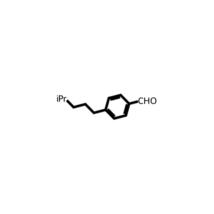 CC(C)CCCc1ccc(C=O)cc1